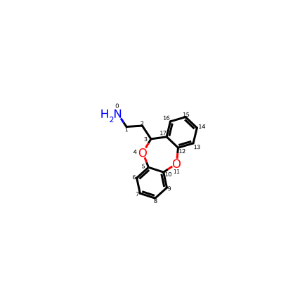 NCCC1Oc2ccccc2Oc2ccccc21